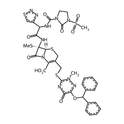 CS[C@@]1(NC(=O)C(NC(=O)N2CCN(S(C)(=O)=O)C2=O)c2csnn2)C(=O)N2C(C(=O)O)=C(CSc3nc(=O)c(OC(c4ccccc4)c4ccccc4)nn3C)CS[C@@H]21